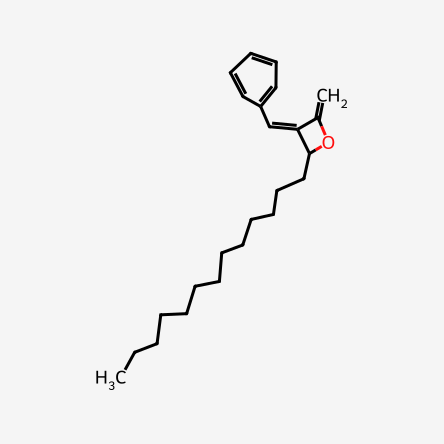 C=C1OC(CCCCCCCCCCCCC)/C1=C/c1ccccc1